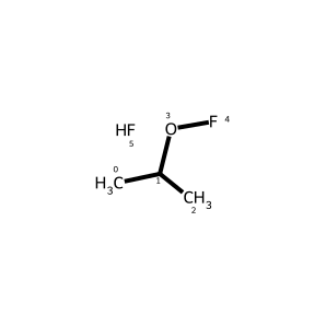 CC(C)OF.F